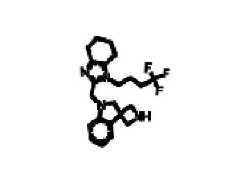 FC(F)(F)CCCn1c(CN2CC3(CNC3)c3ccccc32)nc2c1CCCC2